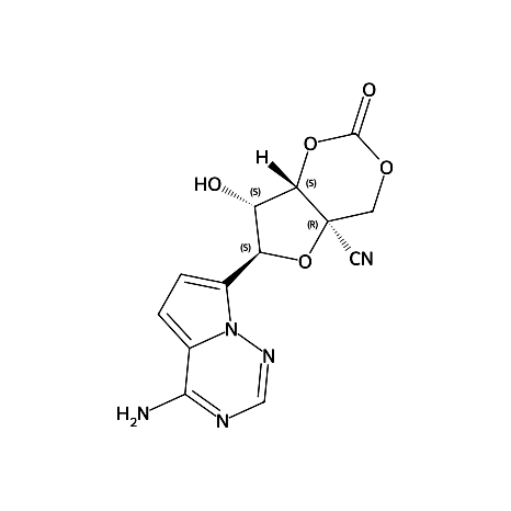 N#C[C@@]12COC(=O)O[C@H]1[C@@H](O)[C@H](c1ccc3c(N)ncnn13)O2